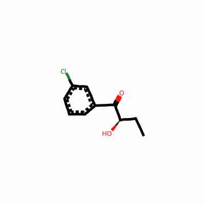 CC[C@@H](O)C(=O)c1cccc(Cl)c1